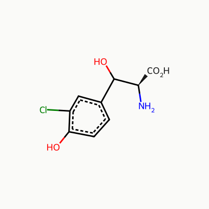 N[C@H](C(=O)O)C(O)c1ccc(O)c(Cl)c1